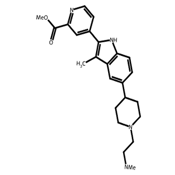 CNCCN1CCC(c2ccc3[nH]c(-c4ccnc(C(=O)OC)c4)c(C)c3c2)CC1